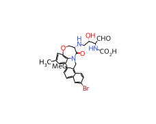 COc1ccc2cc(Br)ccc2c1CN1C(=O)[C@@H](NC[C@H](O)[C@@H](C=O)NC(=O)O)COc2cc(C)ccc21